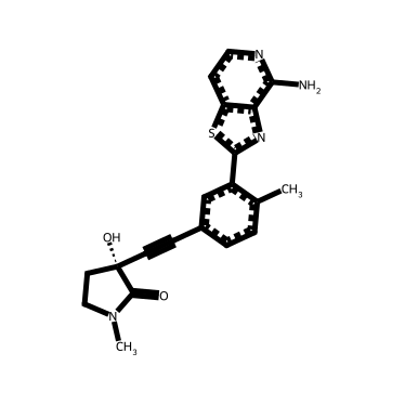 Cc1ccc(C#C[C@]2(O)CCN(C)C2=O)cc1-c1nc2c(N)nccc2s1